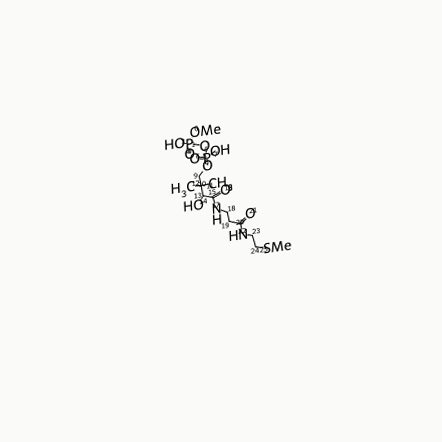 COP(=O)(O)OP(=O)(O)OCC(C)(C)C(O)C(=O)NCCC(=O)NCCSC